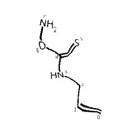 C=CCNC(=S)ON